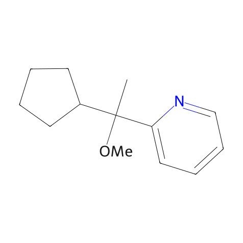 COC(C)(c1ccccn1)C1CCCC1